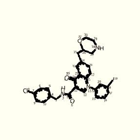 O=C(NCc1ccc(Cl)cc1)c1cn(-c2cccc(I)c2)c2ccc(CC3CNCCO3)cc2c1=O